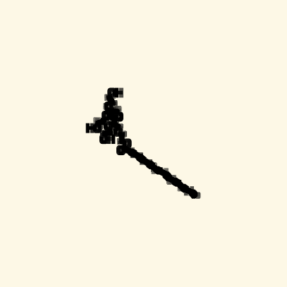 C#CC#CC#CC#CC#CC#CC#CC#CC(=O)OCCOCC(OCCO)C1OC[C@@H](OCCO)[C@@H]1OCCO